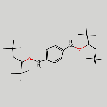 CC(C)(C)CC(O[SiH2]c1ccc([SiH2]OC(CC(C)(C)C)C(C)(C)C)cc1)C(C)(C)C